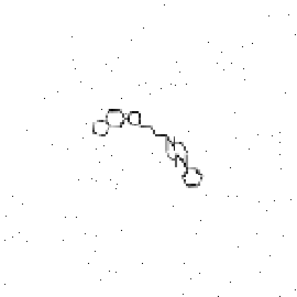 c1ccc(N2CCN(CCCCOc3ccc4c(c3)CCC4)CC2)cc1